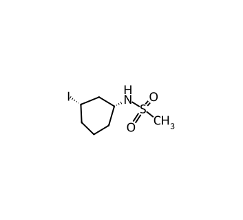 CS(=O)(=O)N[C@@H]1CCC[C@H](I)C1